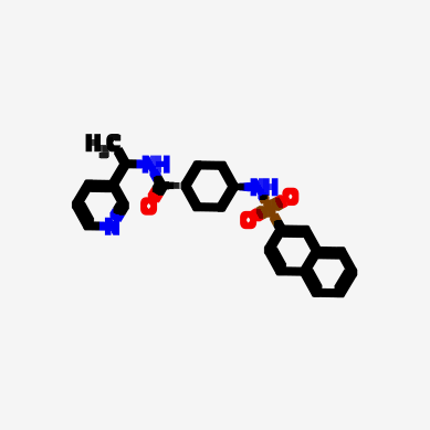 CC(NC(=O)[C@H]1CC[C@H](NS(=O)(=O)c2ccc3ccccc3c2)CC1)c1cccnc1